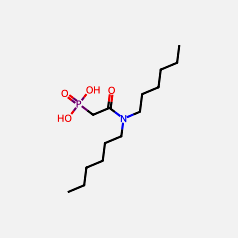 CCCCCCN(CCCCCC)C(=O)CP(=O)(O)O